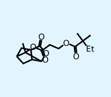 CCC(C)(C)C(=O)OCCC(=O)OC1(C)C2CC3C(=O)OC1C3C2